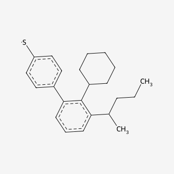 CCCC(C)c1cccc(-c2ccc([S])cc2)c1C1CCCCC1